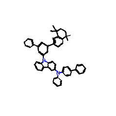 CC1(C)CCC(C)(C)c2cc(C3C=C(C4=CCCC=C4)C=C(n4c5ccccc5c5cc(N(c6ccccc6)c6ccc(-c7ccccc7)cc6)ccc54)C3)ccc21